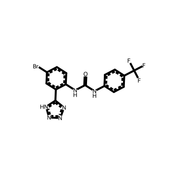 O=C(Nc1ccc(C(F)(F)F)cc1)Nc1ccc(Br)cc1-c1nnn[nH]1